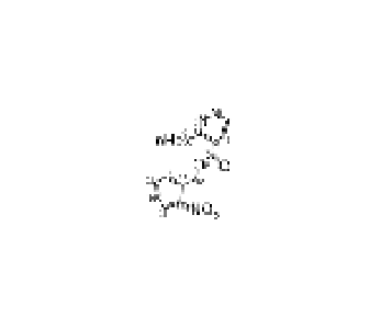 CCCCCCc1nnccc1C(=O)OCc1ccccc1[N+](=O)[O-]